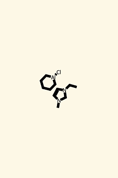 CCN1C=CN(C)C1.[Cl][Al]1[CH2]CCC[CH2]1